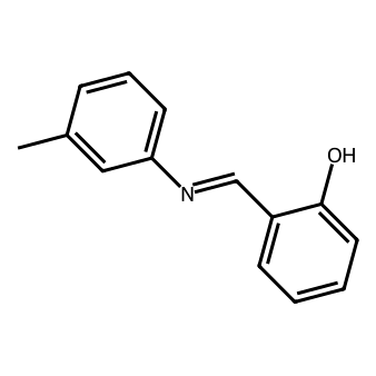 Cc1cccc(/N=C/c2ccccc2O)c1